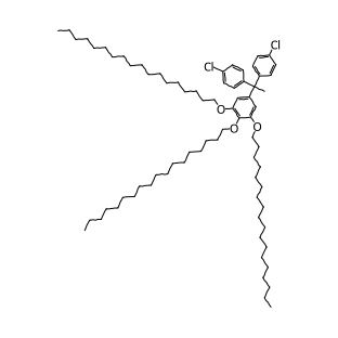 CCCCCCCCCCCCCCCCCCOc1cc(C(C)(c2ccc(Cl)cc2)c2ccc(Cl)cc2)cc(OCCCCCCCCCCCCCCCCCC)c1OCCCCCCCCCCCCCCCCCC